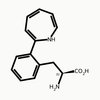 N[C@@H](Cc1ccccc1C1=CC=CC=CN1)C(=O)O